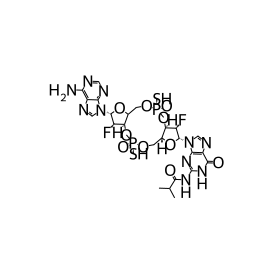 CC(C)C(=O)Nc1nc2c(ncn2[C@@H]2O[C@@H]3CO[P@@](=O)(S)O[C@@H]4C(CO[P@@](=O)(S)O[C@H]3[C@H]2F)O[C@@H](n2cnc3c(N)ncnc32)[C@@H]4F)c(=O)[nH]1